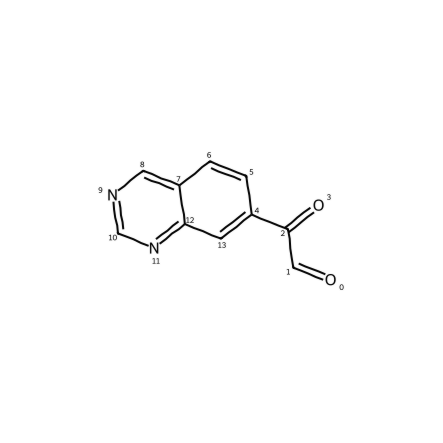 O=CC(=O)c1ccc2cncnc2c1